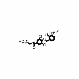 CCCNc1cccc(COc2c(Cl)cc(C(=O)NCC(=O)O)cc2Cl)c1Cl